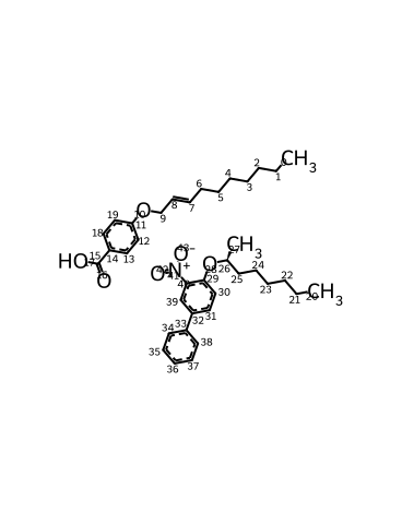 CCCCCCC/C=C/COc1ccc(C(=O)O)cc1.CCCCCC[C@H](C)Oc1ccc(-c2ccccc2)cc1[N+](=O)[O-]